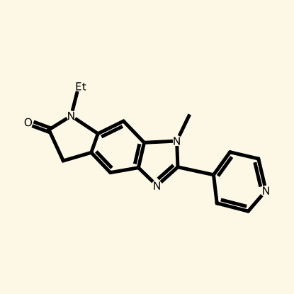 CCN1C(=O)Cc2cc3nc(-c4ccncc4)n(C)c3cc21